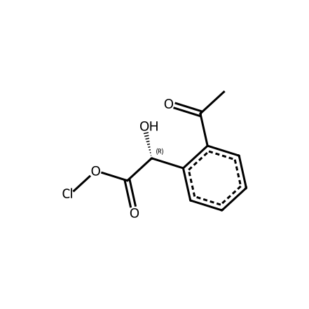 CC(=O)c1ccccc1[C@@H](O)C(=O)OCl